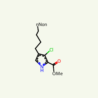 CCCCCCCCCCCCCc1c[nH]c(C(=O)OC)c1Cl